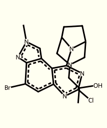 CC(O)CN1CC2CCC(C1)N2c1nc(Cl)nc2cc(Br)c3nn(C)cc3c12